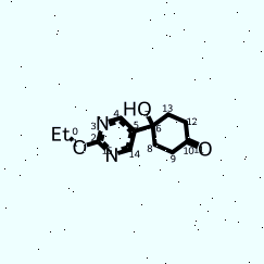 CCOc1ncc(C2(O)CCC(=O)CC2)cn1